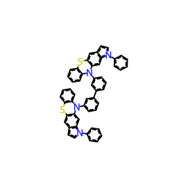 c1ccc(-n2ccc3cc4c(cc32)N(c2cccc(-c3cccc(N5c6ccccc6Sc6cc7ccn(-c8ccccc8)c7cc65)c3)c2)c2ccccc2S4)cc1